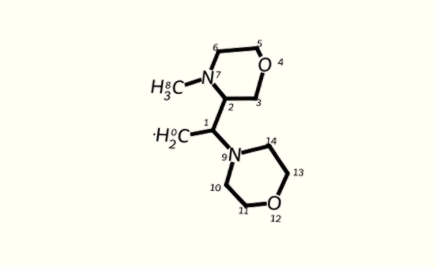 [CH2]C(C1COCCN1C)N1CCOCC1